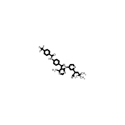 CC(C)(C)/C=C(\C#N)c1cc(-n2nc(-c3ccc(NC(=O)c4ccc(C(F)(F)F)cc4)cc3)c3c(N)ncnc32)ccn1